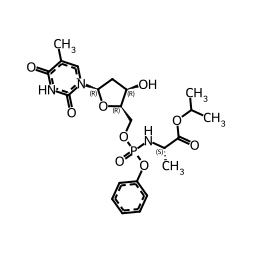 Cc1cn([C@H]2C[C@@H](O)[C@@H](COP(=O)(N[C@@H](C)C(=O)OC(C)C)Oc3ccccc3)O2)c(=O)[nH]c1=O